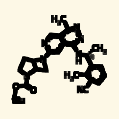 Cc1c(C#N)cccc1[C@@H](C)Nc1nnc(C)c2cnc(N3CC4C3CCN4C(=O)OC(C)(C)C)cc12